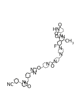 Cc1nn(C2CCC(=O)NC2=O)c(=O)c2cc(F)c(N3CCN(CC4CCN(C(=O)CN5CCC(COc6cnc(-c7cccc(Cn8nc(-c9cccc(C#N)c9)ccc8=O)c7)nc6)CC5)CC4)CC3)cc12